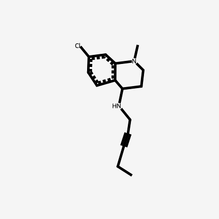 CCC#CCNC1CCN(C)c2cc(Cl)ccc21